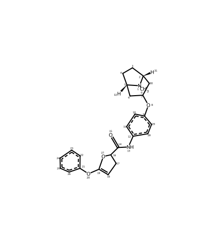 CN1[C@@H]2CC[C@H]1CC(Oc1ccc(NC(=O)C3CC=C(Oc4ccccc4)O3)cc1)C2